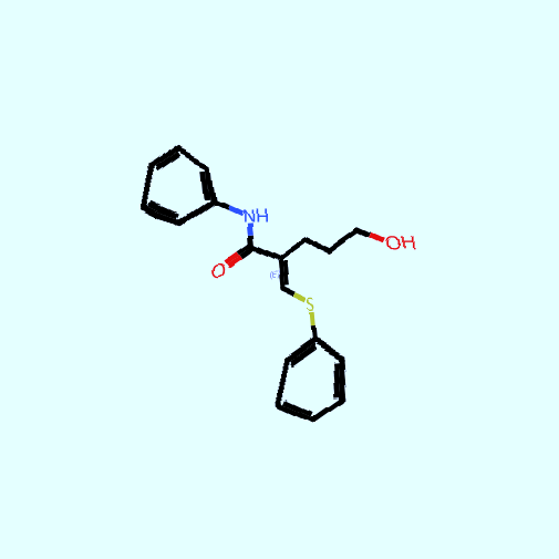 O=C(Nc1ccccc1)/C(=C/Sc1ccccc1)CCCO